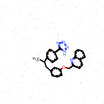 CC(Cc1cccc(OCc2ccc3ccccc3n2)c1)c1ccc(-c2nnn[nH]2)cc1